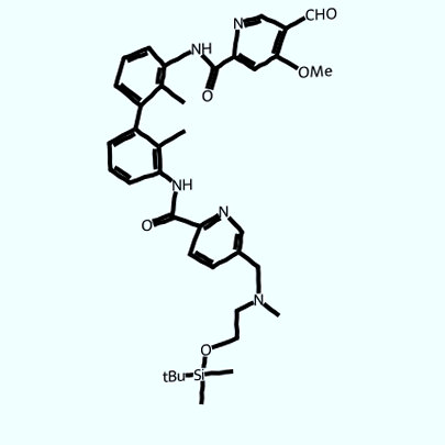 COc1cc(C(=O)Nc2cccc(-c3cccc(NC(=O)c4ccc(CN(C)CCO[Si](C)(C)C(C)(C)C)cn4)c3C)c2C)ncc1C=O